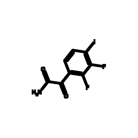 NC(=O)C(=O)c1ccc(I)c(F)c1F